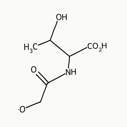 CC(O)C(NC(=O)C[O])C(=O)O